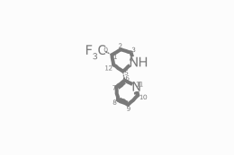 FC(F)(F)[C@@H]1CCN[C@H](c2ccccn2)C1